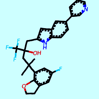 CC(C)(CC(O)(Cc1cc2cc(-c3cccnc3)ccc2[nH]1)C(F)(F)F)c1cc(F)cc2c1OCC2